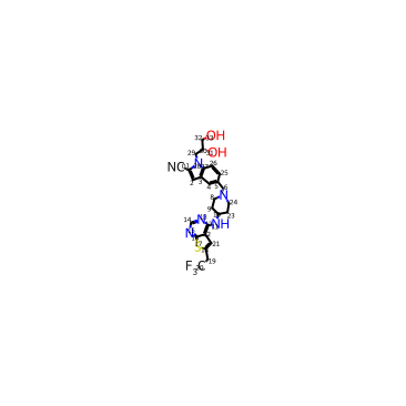 N#Cc1cc2cc(CN3CCC(Nc4ncnc5sc(CC(F)(F)F)cc45)CC3)ccc2n1C[C@@H](O)CO